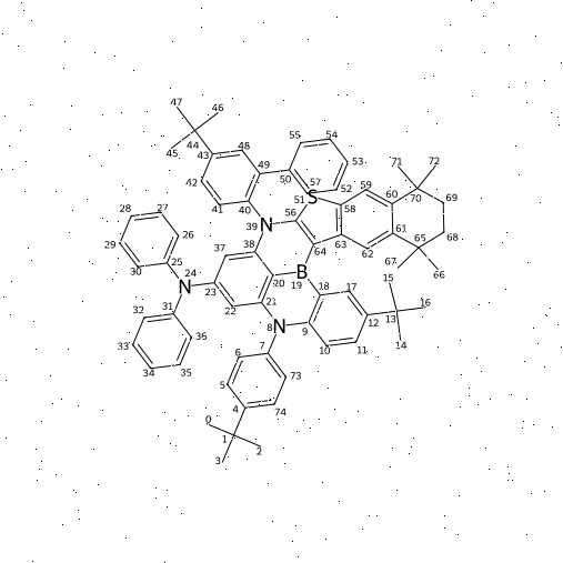 CC(C)(C)c1ccc(N2c3ccc(C(C)(C)C)cc3B3c4c2cc(N(c2ccccc2)c2ccccc2)cc4N(c2ccc(C(C)(C)C)cc2-c2ccccc2)c2sc4cc5c(cc4c23)C(C)(C)CCC5(C)C)cc1